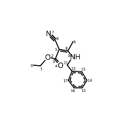 CCOC(=O)C(C#N)=C(C)NCc1ccccc1